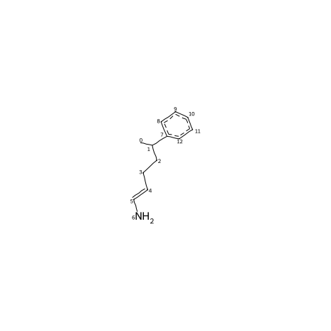 CC(CCC=CN)c1ccccc1